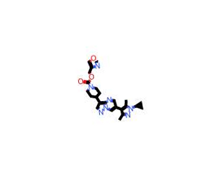 Cc1nn(C2CC2)c(C)c1-c1cnc2c(C3CCN(C(=O)OCc4cocn4)CC3)cnn2c1